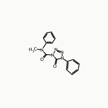 CN(C(=O)n1nnn(-c2ccccc2)c1=O)c1ccccc1